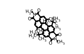 Cc1cc2c3c(cc(C)c4c5c(C(C)(C)C)cc6c7c(cc(C(C)(C)C)c(c1c34)c75)C(=O)N(C)C6=O)C(=O)N(C)C2=O